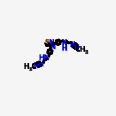 CN1CCN(CCCNCc2ccc(-c3nc(-c4ccc(CNCCCN5CCN(C)CC5)cc4)c4ccsc4n3)cc2)CC1